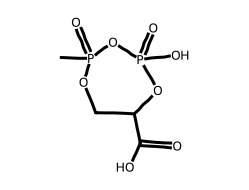 CP1(=O)OCC(C(=O)O)OP(=O)(O)O1